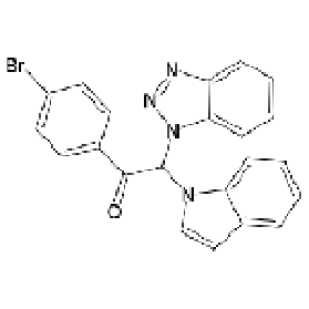 O=C(c1ccc(Br)cc1)C(n1ccc2ccccc21)n1nnc2ccccc21